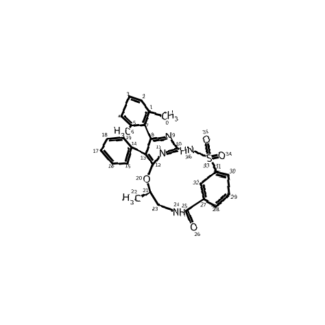 Cc1cccc(C)c1-c1nc2nc(c1-c1ccccc1)O[C@H](C)CNC(=O)c1cccc(c1)S(=O)(=O)N2